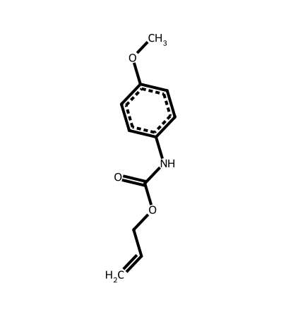 C=CCOC(=O)Nc1ccc(OC)cc1